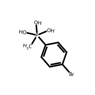 CP(O)(O)(O)c1ccc(Br)cc1